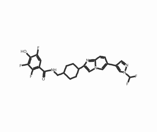 O=C(NCC1CCC(c2cn3cc(-c4cnn(C(F)F)c4)ccc3n2)CC1)c1cc(F)c(O)c(F)c1F